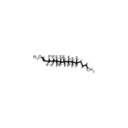 C/C=C/C(F)(F)C(F)(F)C(F)(F)C(F)(F)C(F)(F)C(F)(F)C(F)(F)C(F)(F)CCCC